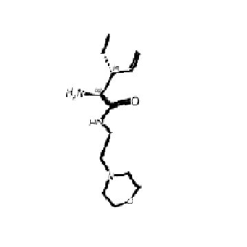 C=C[C@@H](CC)[C@H](N)C(=O)NCCN1CCOCC1